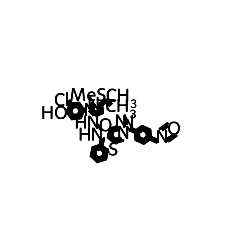 CSC(C)(C)c1cc(NC(=O)NCc2ccccc2Sc2ccc3nnc(-c4ccc(CN5CCOCC5)cc4)n3c2)n(-c2ccc(O)c(Cl)c2)n1